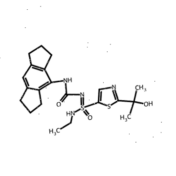 CCNS(=O)(=NC(=O)Nc1c2c(cc3c1CCC3)CCC2)c1cnc(C(C)(C)O)s1